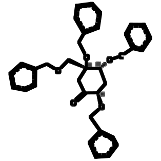 O=C1C[C@](COCc2ccccc2)(OCc2ccccc2)[C@H](OCc2ccccc2)C[C@H]1OCc1ccccc1